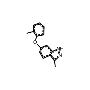 Cc1ccccc1Oc1ccc2c(C)n[nH]c2c1